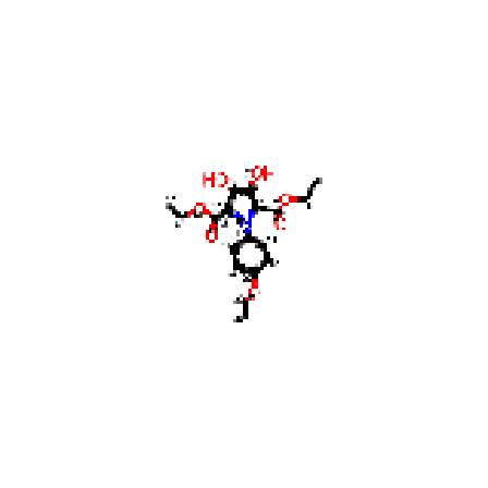 CCOC(=O)c1c(O)c(O)c(C(=O)OCC)n1-c1ccc(OCC)cc1